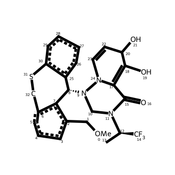 COCc1cccc2c1[C@@H](N1CN([C@H](C)C(F)(F)F)C(=O)C3=C(O)C(O)C=CN31)c1ccccc1SC2